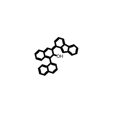 OC1C(c2cccc3ccccc23)=c2ccccc2=CC1=c1cccc2c1=Cc1ccccc1-2